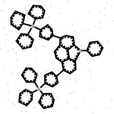 c1ccc(-n2c3ccc(-c4ccc([Si](c5ccccc5)(c5ccccc5)c5ccccc5)cc4)c4ccc5c(-c6ccc([Si](c7ccccc7)(c7ccccc7)c7ccccc7)cc6)ccc2c5c43)cc1